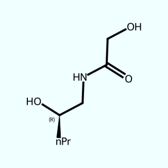 CCC[C@@H](O)CNC(=O)CO